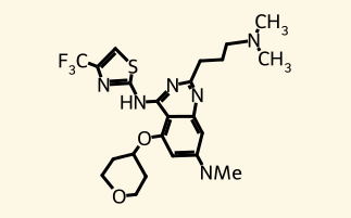 CNc1cc(OC2CCOCC2)c2c(Nc3nc(C(F)(F)F)cs3)nc(CCCN(C)C)nc2c1